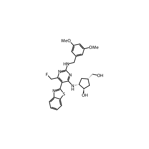 COc1cc(CNc2nc(CF)c(-c3nc4ccccc4s3)c(N[C@@H]3C[C@H](CO)C[C@H]3O)n2)cc(OC)c1